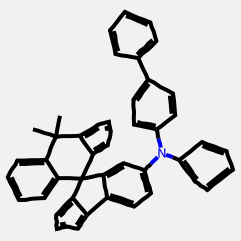 CC1(C)c2ccccc2C2(c3ccccc3-c3ccc(N(c4ccccc4)c4ccc(-c5ccccc5)cc4)cc32)c2ccccc21